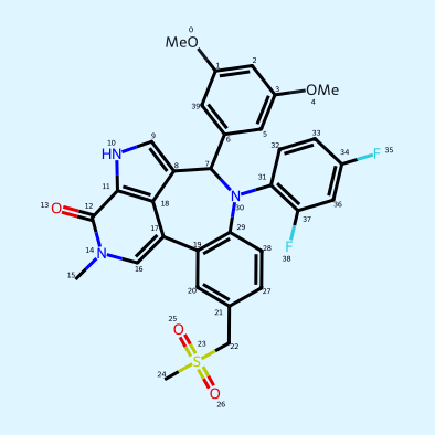 COc1cc(OC)cc(C2c3c[nH]c4c(=O)n(C)cc(c34)-c3cc(CS(C)(=O)=O)ccc3N2c2ccc(F)cc2F)c1